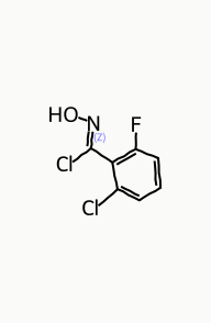 O/N=C(\Cl)c1c(F)cccc1Cl